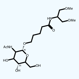 COCC(COC)NC(=O)CCCCO[C@@H]1OC(CO)[C@H](O)C(O)C1NC(C)=O